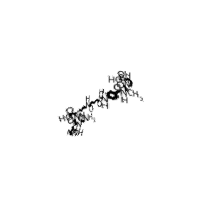 C[C@@H](NC(=O)c1ccc(NNC(=O)CCCC(=O)NCCCC[C@H](NC(=O)[C@H](CC2CNC=N2)NC(=O)CN)C(=O)O)cc1)C(=O)N1CCC[C@H]1B(O)O